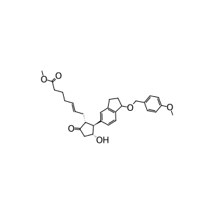 COC(=O)CCCC=CC[C@H]1C(=O)C[C@@H](O)[C@@H]1c1ccc2c(c1)CCC2OCc1ccc(OC)cc1